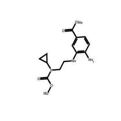 COC(=O)c1ccc(N)c(NCCN(C(=O)OC(C)(C)C)C2CC2)c1